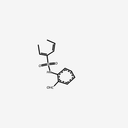 C/C=C\C(=C/C)S(=O)(=O)Nc1ccccc1C=O